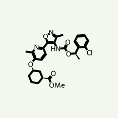 COC(=O)[C@H]1CCC[C@H](Oc2ccc(-c3onc(C)c3NC(=O)O[C@H](C)c3ccccc3Cl)nc2C)C1